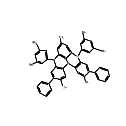 Cc1cc2c3c(c1)N(c1cc(C(C)(C)C)cc(C(C)(C)C)c1)c1cc(-c4ccccc4)c(C(C)(C)C)cc1B3c1cc(C(C)(C)C)c(-c3ccccc3)cc1N2c1cc(C(C)(C)C)cc(C(C)(C)C)c1